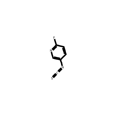 Fc1ccc(N=C=S)cn1